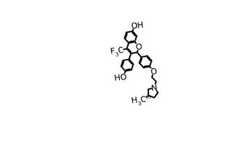 C[C@@H]1CCN(CCOc2ccc(C3Oc4cc(O)ccc4C(C(F)(F)F)=C3c3ccc(O)cc3)cc2)C1